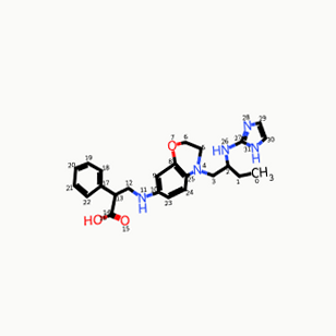 CCC(CN1CCOc2cc(NCC(C(=O)O)c3ccccc3)ccc21)Nc1ncc[nH]1